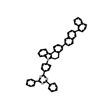 c1ccc(-c2nc(-c3ccccc3)nc(-c3ccc(-n4c5c(c6ccccc64)-c4ccc(-c6ccc7cc(-c8cccc9ccccc89)ccc7c6)cc4CC5)cc3)n2)cc1